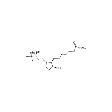 CCCCC(C)(C)C(O)CC=C1CC[C@H](O)[C@@H]1CCCCCCC(=O)OC